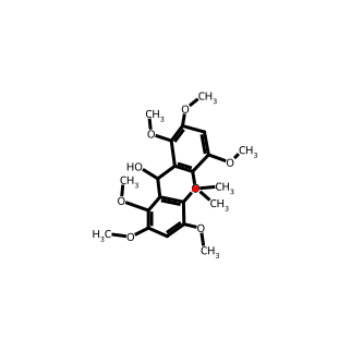 COc1cc(OC)c(OC)c(C(O)c2c(OC)c(OC)cc(OC)c2OC)c1OC